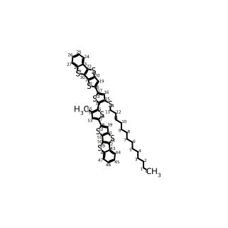 CCCCCCCCCCCCCCSc1cc(-c2cc3sc4c5ccccc5sc4c3s2)sc1-c1sc(-c2cc3sc4c5ccccc5sc4c3s2)cc1C